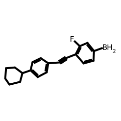 Bc1ccc(C#Cc2ccc(C3CCCCC3)cc2)c(F)c1